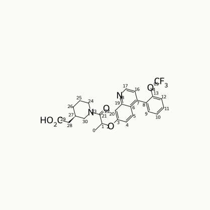 CC(Oc1ccc2c(-c3ccccc3OC(F)(F)F)ccnc2c1)C(=O)N1CCC[C@H](CC(=O)O)C1